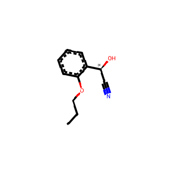 CCCOc1ccccc1[C@@H](O)C#N